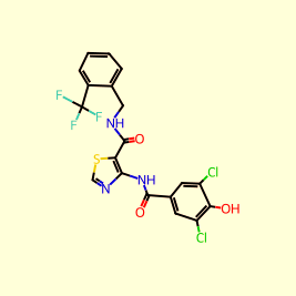 O=C(Nc1ncsc1C(=O)NCc1ccccc1C(F)(F)F)c1cc(Cl)c(O)c(Cl)c1